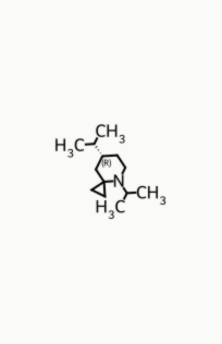 CC(C)[C@@H]1CCN(C(C)C)C2(CC2)C1